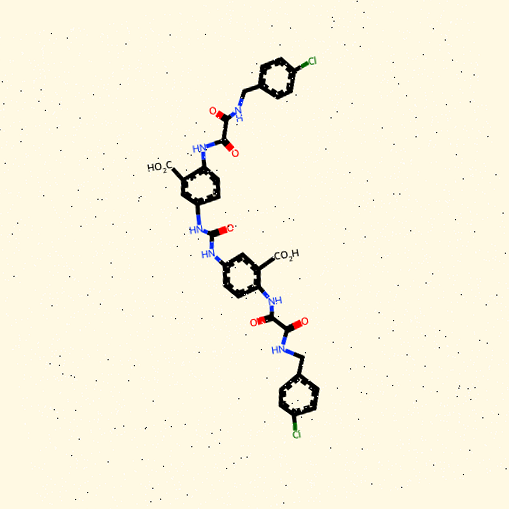 O=C(Nc1ccc(NC(=O)C(=O)NCc2ccc(Cl)cc2)c(C(=O)O)c1)Nc1ccc(NC(=O)C(=O)NCc2ccc(Cl)cc2)c(C(=O)O)c1